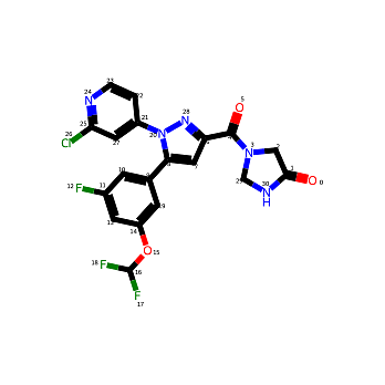 O=C1CN(C(=O)c2cc(-c3cc(F)cc(OC(F)F)c3)n(-c3ccnc(Cl)c3)n2)CN1